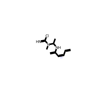 C=C/C=C\C(=C)NC(C)N(C)C(=N)Cl